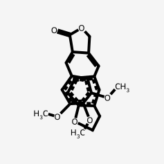 COc1cc(/C=C2/C(=O)OC/C2=C/c2ccc3c(c2)CCO3)cc(OC)c1OC